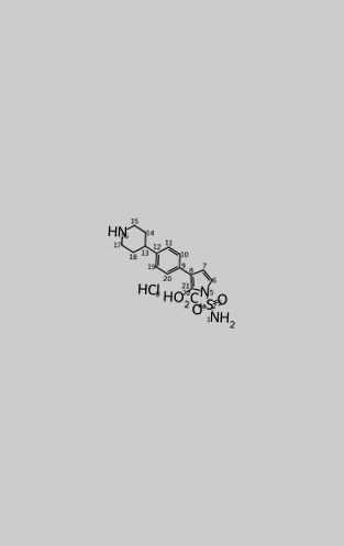 Cl.NS(=O)(=O)n1ccc(-c2ccc(C3CCNCC3)cc2)c1C(=O)O